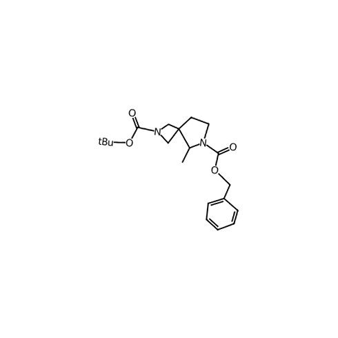 CC1N(C(=O)OCc2ccccc2)CCC12CN(C(=O)OC(C)(C)C)C2